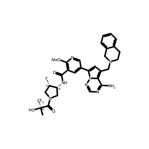 COc1ncc(-c2cc(CN3CCc4ccccc4C3)c3c(N)ncnn23)cc1C(=O)N[C@@H]1CN(C(=O)[C@@](C)(O)C(F)(F)F)C[C@@H]1F